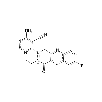 CCNC(=O)c1cc2cc(F)ccc2nc1C(C)Nc1ncnc(N)c1C#N